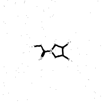 O=C(CI)N1CC(F)C(F)C1